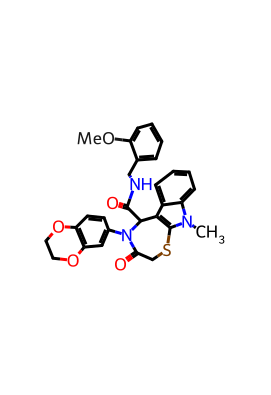 COc1ccccc1CNC(=O)C1c2c(n(C)c3ccccc23)SCC(=O)N1c1ccc2c(c1)OCCO2